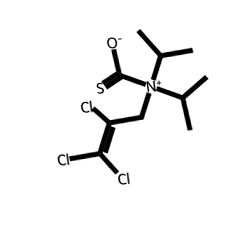 CC(C)[N+](CC(Cl)=C(Cl)Cl)(C([O-])=S)C(C)C